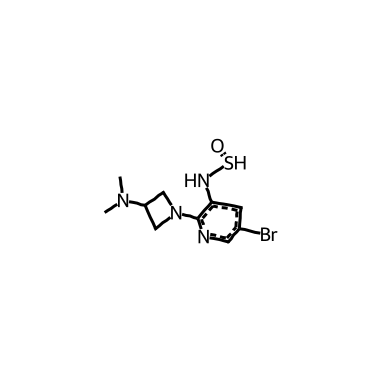 CN(C)C1CN(c2ncc(Br)cc2N[SH]=O)C1